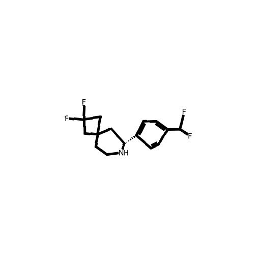 FC(F)c1ccc([C@H]2CC3(CCN2)CC(F)(F)C3)cc1